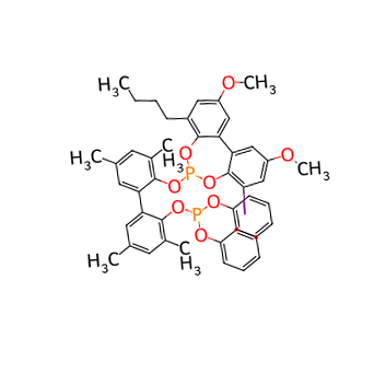 CCCCc1cc(OC)cc2c1op(Oc1c(C)cc(C)cc1-c1cc(C)cc(C)c1OP(Oc1ccccc1)Oc1ccccc1)oc1c(I)cc(OC)cc12